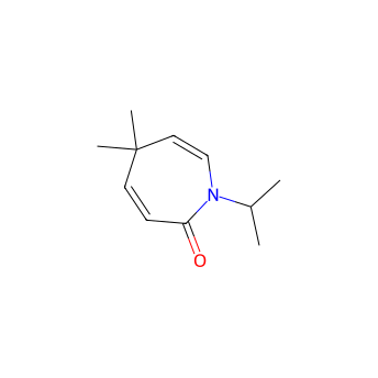 CC(C)N1C=CC(C)(C)C=CC1=O